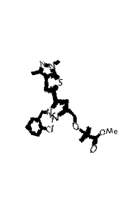 COC(=O)C(C)(C)OCc1cc(-c2cc3c(C)nn(C)c3s2)n(Cc2ccccc2Cl)n1